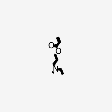 C=CC(=O)OCCCN(C)CC